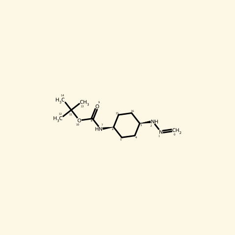 C=NN[C@H]1CC[C@@H](NC(=O)OC(C)(C)C)CC1